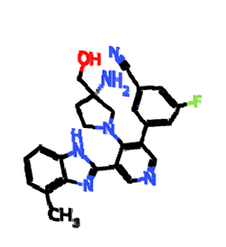 Cc1cccc2[nH]c(-c3cncc(-c4cc(F)cc(C#N)c4)c3N3CC[C@@](N)(CO)C3)nc12